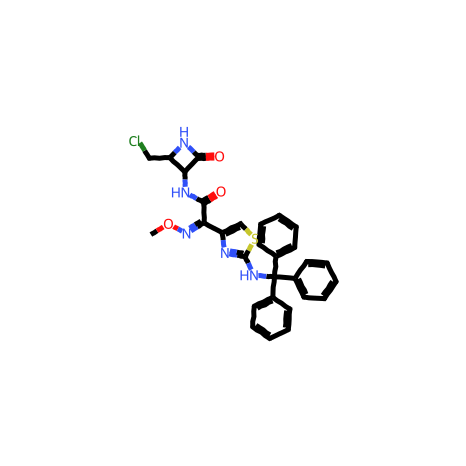 CON=C(C(=O)NC1C(=O)NC1CCl)c1csc(NC(c2ccccc2)(c2ccccc2)c2ccccc2)n1